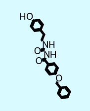 O=C(NCCc1ccc(O)cc1)NC(=O)c1ccc(OCc2ccccc2)cc1